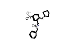 O=[N+]([O-])c1ccc(SC2CCCC2)c(/C=[N+](\[O-])Cc2ccccc2)c1